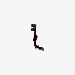 CCCCCCC(O)C/C=C\CCCCCCCC(=O)OCCOC(=O)CCCCCCCCCCC(O)CCCCCC